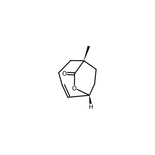 C[C@@]12CC/C=C\[C@@H](CC1)OC2=O